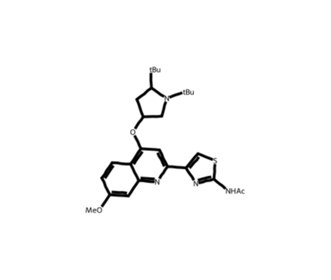 COc1ccc2c(OC3CC(C(C)(C)C)N(C(C)(C)C)C3)cc(-c3csc(NC(C)=O)n3)nc2c1